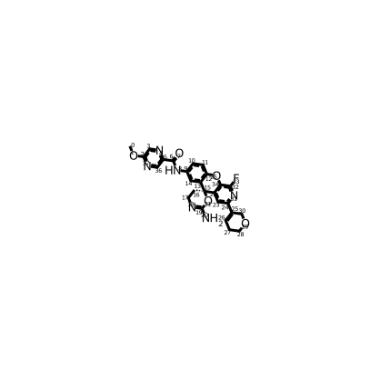 COc1cnc(C(=O)Nc2ccc3c(c2)[C@@]2(CCN=C(N)O2)c2cc(C4=CCCOC4)nc(F)c2O3)cn1